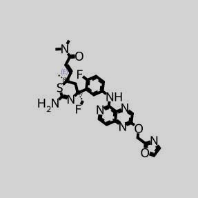 CN(C)C(=O)/C=C/[C@@]1(C)C[C@@](CF)(c2cc(Nc3nccc4nc(OCc5ncco5)cnc34)ccc2F)N=C(N)S1